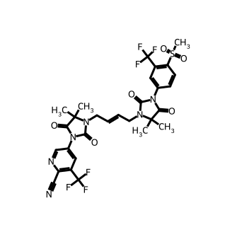 CC1(C)C(=O)N(c2ccc(S(C)(=O)=O)c(C(F)(F)F)c2)C(=O)N1CC=CCN1C(=O)N(c2cnc(C#N)c(C(F)(F)F)c2)C(=O)C1(C)C